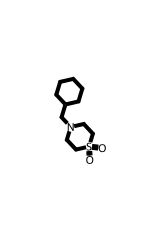 O=S1(=O)CCN(CC2CCCCC2)CC1